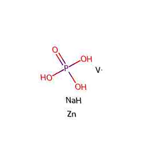 O=P(O)(O)O.[NaH].[V].[Zn]